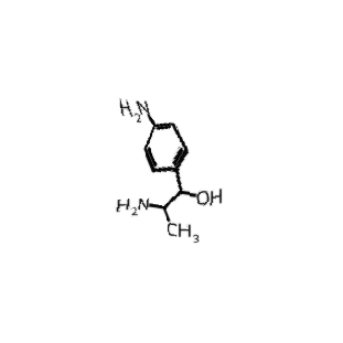 CC(N)C(O)c1ccc(N)cc1